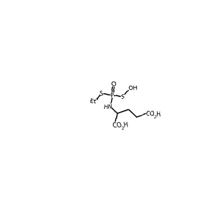 CCSP(=O)(NC(CCC(=O)O)C(=O)O)SO